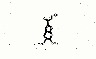 COc1nc2cc(C(=O)CC(=O)O)sc2nc1OC